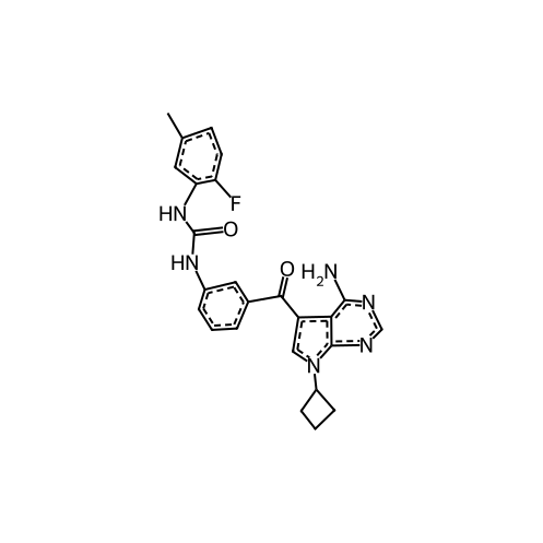 Cc1ccc(F)c(NC(=O)Nc2cccc(C(=O)c3cn(C4CCC4)c4ncnc(N)c34)c2)c1